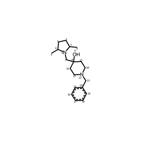 CC1CCC(C)N1CC1(O)CCN(Cc2ccccc2)CC1